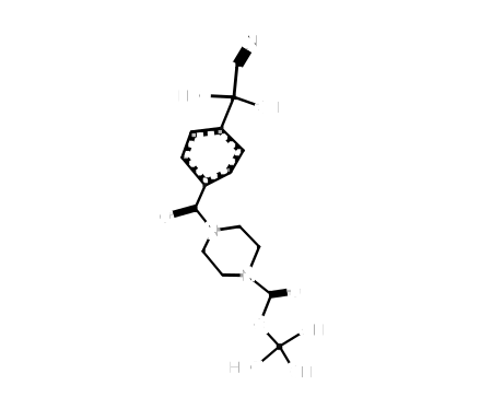 CC(C)(C)OC(=O)N1CCN(C(=O)c2ccc(C(C)(C)C#N)cc2)CC1